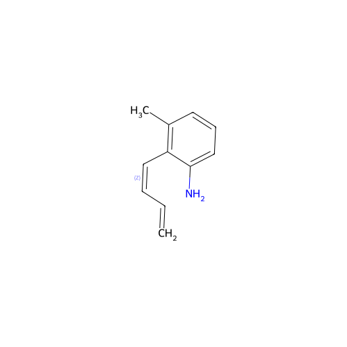 C=C/C=C\c1c(C)cccc1N